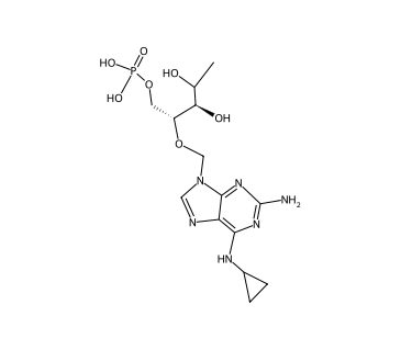 CC(O)[C@@H](O)[C@@H](COP(=O)(O)O)OCn1cnc2c(NC3CC3)nc(N)nc21